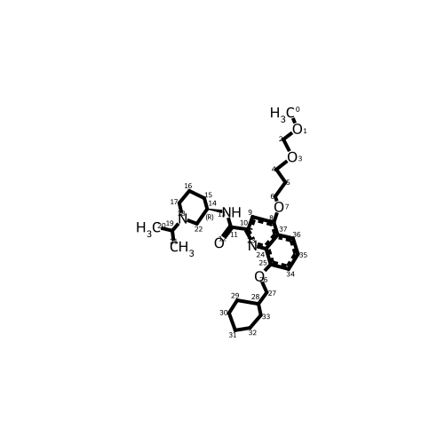 COCOCCCOc1cc(C(=O)N[C@@H]2CCCN(C(C)C)C2)nc2c(OCC3CCCCC3)cccc12